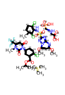 CC(C)OC(=O)c1cc(-n2c(=O)cc(C(F)(F)F)n(C)c2=O)ccc1Cl.COc1cc(OC)n2nc(S(=O)(=O)Nc3c(Cl)ccc(C)c3Cl)nc2n1.C[S+](C)C.O=C(O)CNCP(=O)([O-])O